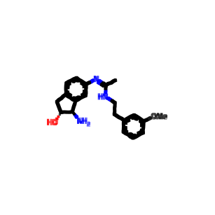 COc1cccc(CCNC(C)=Nc2ccc3c(c2)[C@@H](N)[C@H](O)C3)c1